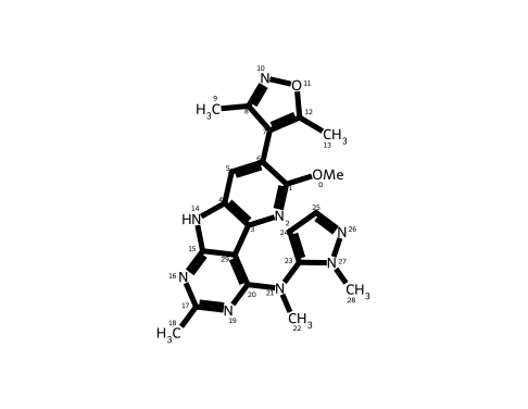 COc1nc2c(cc1-c1c(C)noc1C)[nH]c1nc(C)nc(N(C)c3ccnn3C)c12